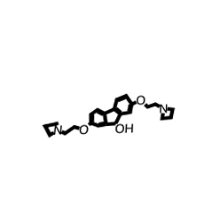 OC1c2cc(OCCN3CCC3)ccc2-c2ccc(OCCN3CCC3)cc21